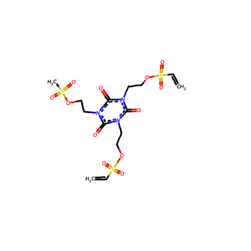 C=CS(=O)(=O)OCCn1c(=O)n(CCOS(C)(=O)=O)c(=O)n(CCOS(=O)(=O)C=C)c1=O